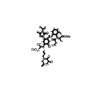 C=CCN(CC=C)C(=O)C(Cl)Cl.CCOC(=O)C(Cl)Cc1cc(-n2nc(C)n(C(F)F)c2=O)c(F)cc1Cl.CCc1cccc(C)c1N(C(=O)CCl)C(C)COC